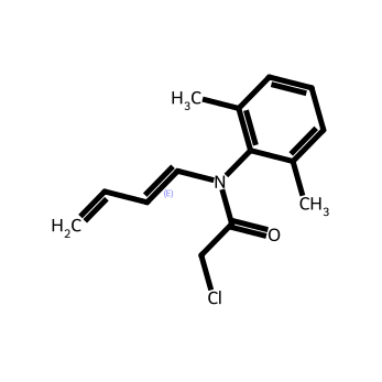 C=C/C=C/N(C(=O)CCl)c1c(C)cccc1C